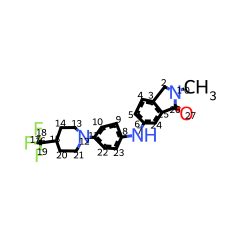 CN1Cc2ccc(Nc3ccc(N4CCC(C(F)(F)F)CC4)cc3)cc2C1=O